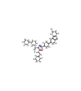 C/C=C(/c1cccc(-c2ccccc2)c1)c1nc(-c2ccc(-c3ccc4sc5c(c4c3)CC(C)C=C5)cc2)oc1/C=C/c1ccccc1